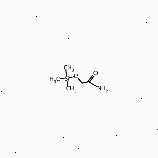 C[Si](C)(C)OCC(N)=O